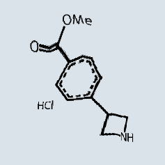 COC(=O)c1ccc(C2CNC2)cc1.Cl